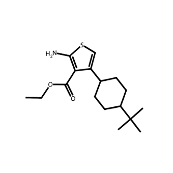 CCOC(=O)c1c(C2CCC(C(C)(C)C)CC2)csc1N